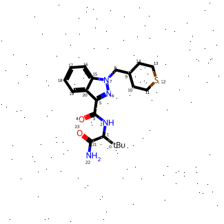 CC(C)(C)C(NC(=O)c1nn(CC2CCSCC2)c2ccccc12)C(N)=O